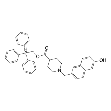 O=C(OC[PH](c1ccccc1)(c1ccccc1)c1ccccc1)C1CCN(Cc2ccc3cc(O)ccc3c2)CC1